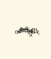 C[C@@H]1CC(C(=O)OC2CCc3cc4c(cc3C2=O)COc2cc(Cl)ccc2-4)N[C@@H]1C